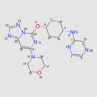 c1cnc(N[C@H]2CC[C@@H](Oc3nc(N4CCOCC4)cc4ncnn34)CC2)cn1